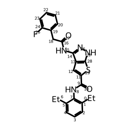 CCc1cccc(CC)c1NC(=O)c1cc2c(NC(=O)Cc3ccccc3F)n[nH]c2s1